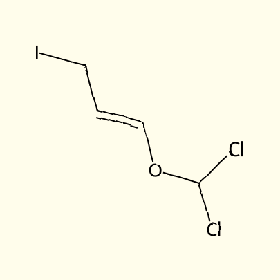 ClC(Cl)OC=CCI